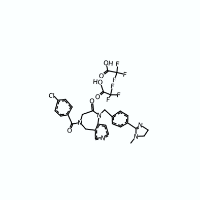 CN1CCN=C1c1ccc(CN2C(=O)CN(C(=O)c3ccc(Cl)cc3)Cc3cnccc32)cc1.O=C(O)C(F)(F)F.O=C(O)C(F)(F)F